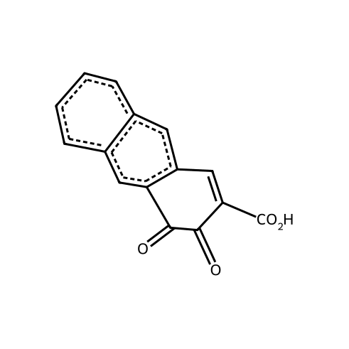 O=C(O)C1=Cc2cc3ccccc3cc2C(=O)C1=O